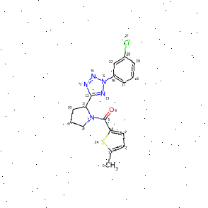 Cc1ccc(C(=O)N2CCCC2c2nnn(-c3cccc(Cl)c3)n2)s1